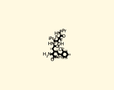 CCCNC(=O)C(F)(F)C(O)C(NC(=O)Cc1cc(-c2ccccc2Cl)[nH]c(=O)c1N)C(C)C